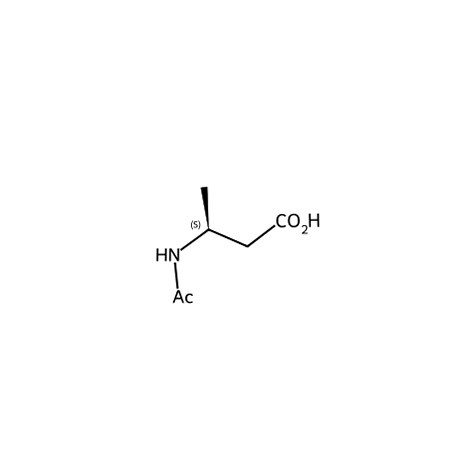 CC(=O)N[C@@H](C)CC(=O)O